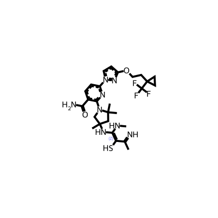 CN/C(NC1(C)CN(c2nc(-n3ccc(OCCC4(C(F)(F)F)CC4)n3)ccc2C(N)=O)C(C)(C)C1)=C(/S)C(C)=N